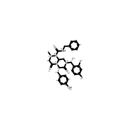 C[C@H](c1ccc(F)cc1F)N1CC2N(C(=O)CN(C)N2C(=O)NCc2ccccc2)[C@@H](Cc2ccc(O)cc2)C1=O